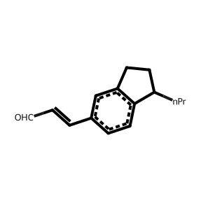 CCCC1CCc2cc(C=CC=O)ccc21